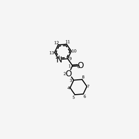 O=C(OC1CCCCC1)c1ccccn1